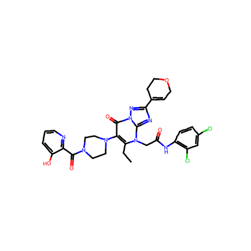 CCc1c(N2CCN(C(=O)c3ncccc3O)CC2)c(=O)n2nc(C3=CCOCC3)nc2n1CC(=O)Nc1ccc(Cl)cc1Cl